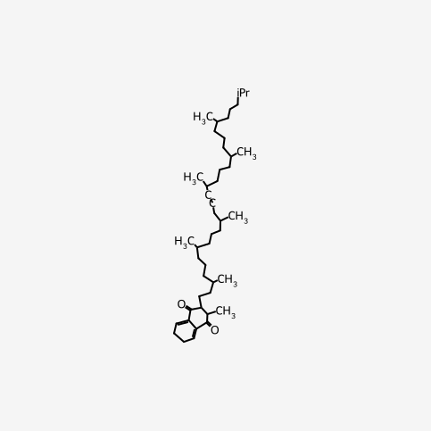 CC(C)CCCC(C)CCCC(C)CCCC(C)CCCC(C)CCCC(C)CCCC(C)CCC1C(=O)C2=CCCC=C2C(=O)C1C